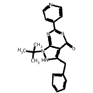 CC(C)(C)n1[nH]c(Cc2ccccc2)c2c(=O)nc(-c3ccncc3)nc1-2